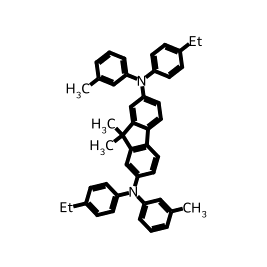 CCc1ccc(N(c2cccc(C)c2)c2ccc3c(c2)C(C)(C)c2cc(N(c4ccc(CC)cc4)c4cccc(C)c4)ccc2-3)cc1